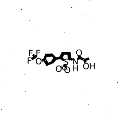 CC(O)C(=O)NC1=CC=C(c2ccc(OC(F)(F)F)cc2)S1=S(=O)=O